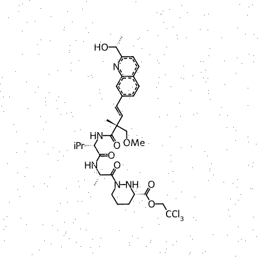 COC[C@@](C)(/C=C/c1ccc2ccc([C@@H](C)O)nc2c1)C(=O)N[C@H](C(=O)N[C@@H](C)C(=O)N1CCC[C@@H](C(=O)OCC(Cl)(Cl)Cl)N1)C(C)C